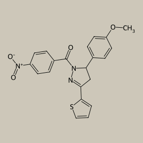 COc1ccc(C2CC(c3cccs3)=NN2C(=O)c2ccc([N+](=O)[O-])cc2)cc1